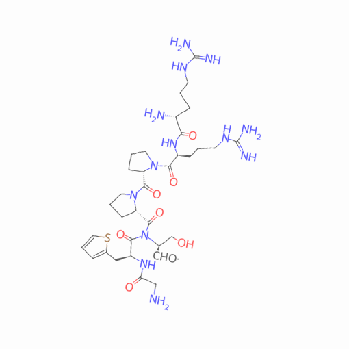 N=C(N)NCCC[C@@H](N)C(=O)N[C@@H](CCCNC(=N)N)C(=O)N1CCC[C@H]1C(=O)N1CCC[C@H]1C(=O)N(C(=O)[C@H](Cc1cccs1)NC(=O)CN)[C@H]([C]=O)CO